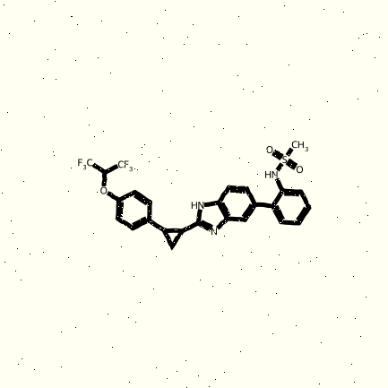 CS(=O)(=O)Nc1ccccc1-c1ccc2[nH]c(C3CC3c3ccc(OC(C(F)(F)F)C(F)(F)F)cc3)nc2c1